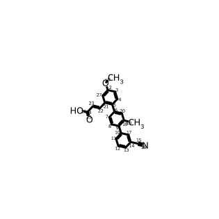 COc1ccc(-c2ccc(-c3cccc(C#N)c3)c(C)c2)c(/C=C/C(=O)O)c1